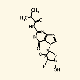 CC(C)C(=O)Nc1nc2ncn([C@@H]3O[C@H](CO)[C@@H](F)[C@H]3O)c2c(=O)[nH]1